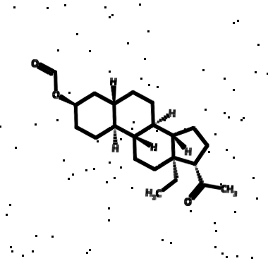 CC[C@]12CC[C@H]3[C@@H](CC[C@H]4C[C@H](OC=O)CC[C@@H]43)[C@@H]1CC[C@@H]2C(C)=O